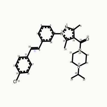 Cc1nn(-c2cccc(/C=C/c3ccc(Cl)cc3)c2)c(C)c1C(=O)N1CCN(C(C)C)CC1